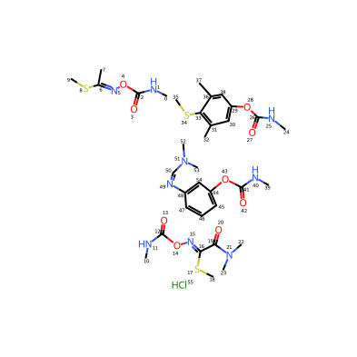 CNC(=O)O/N=C(\C)SC.CNC(=O)ON=C(SC)C(=O)N(C)C.CNC(=O)Oc1cc(C)c(SC)c(C)c1.CNC(=O)Oc1cccc(/N=C\N(C)C)c1.Cl